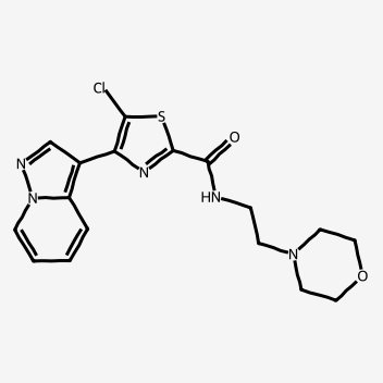 O=C(NCCN1CCOCC1)c1nc(-c2cnn3ccccc23)c(Cl)s1